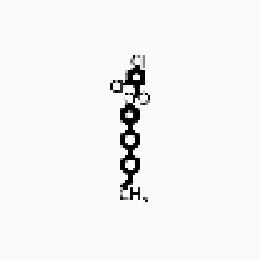 C=CCC1CCC(C2CCC(c3ccc(OC(=O)c4ccc(Cl)cc4Cl)cc3)CC2)CC1